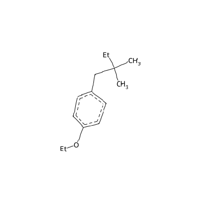 CCOc1ccc(CC(C)(C)CC)cc1